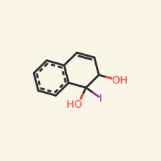 OC1C=Cc2ccccc2C1(O)I